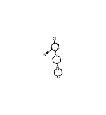 N#Cc1cc(Cl)ccc1N1CCC(N2CCOCC2)CC1